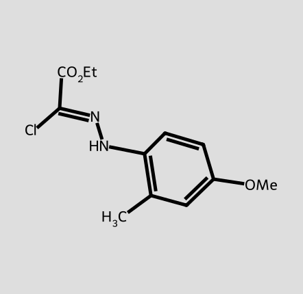 CCOC(=O)/C(Cl)=N/Nc1ccc(OC)cc1C